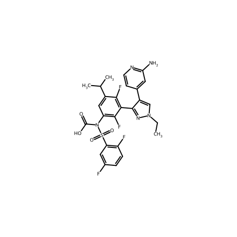 CCn1cc(-c2ccnc(N)c2)c(-c2c(F)c(C(C)C)cc(N(C(=O)O)S(=O)(=O)c3cc(F)ccc3F)c2F)n1